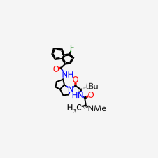 CN[C@@H](C)C(=O)N[C@H](C(=O)N1CCC2CCC(NC(=O)c3ccc(F)c4ccccc34)C21)C(C)(C)C